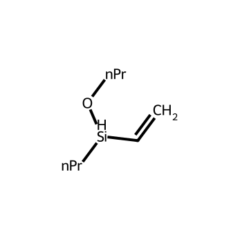 C=C[SiH](CCC)OCCC